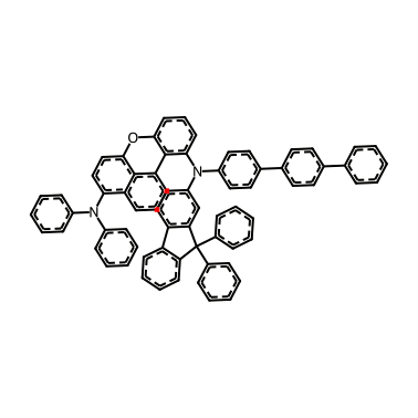 c1ccc(-c2ccc(-c3ccc(N(c4ccc5c(c4)C(c4ccccc4)(c4ccccc4)c4ccccc4-5)c4cccc5c4-c4cccc6c(N(c7ccccc7)c7ccccc7)ccc(c46)O5)cc3)cc2)cc1